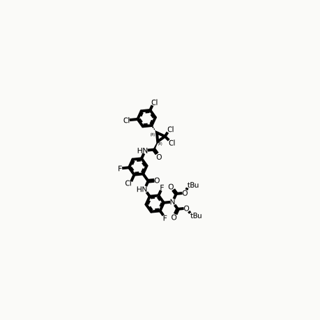 CC(C)(C)OC(=O)N(C(=O)OC(C)(C)C)c1c(F)ccc(NC(=O)c2cc(NC(=O)[C@H]3[C@H](c4cc(Cl)cc(Cl)c4)C3(Cl)Cl)cc(F)c2Cl)c1F